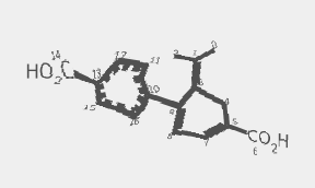 CC(C)=C1CC(C(=O)O)=CC=C1c1ccc(C(=O)O)cc1